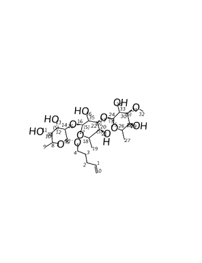 C=CCCCO[C@@H]1OC(C)[C@H](O)[C@H](O)C1O[C@@H]1OC(C)[C@H](O)[C@H](O[C@@H]2OC(C)[C@H](O)[C@H](OC)C2O)C1O